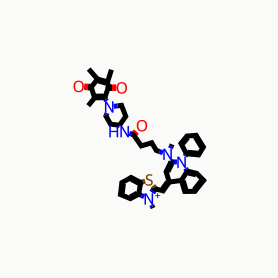 CC1=C(C)C(=O)C(N2CCC(NC(=O)CCCN(C)C3=C/C(=C\c4sc5ccccc5[n+]4C)c4ccccc4N3c3ccccc3)CC2)=C(C)C1=O